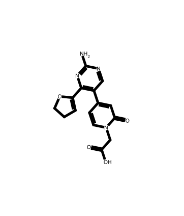 Nc1ncc(-c2ccn(CC(=O)O)c(=O)c2)c(C2=CCCO2)n1